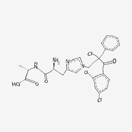 C[C@H](NC(=O)[C@@H](N)Cc1cn(CC(Cl)(C(=O)c2ccc(Cl)cc2Cl)c2ccccc2)cn1)C(=O)O